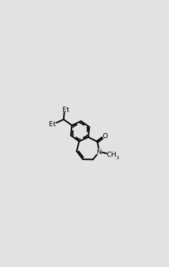 CCC(CC)c1ccc2c(c1)C=CCN(C)C2=O